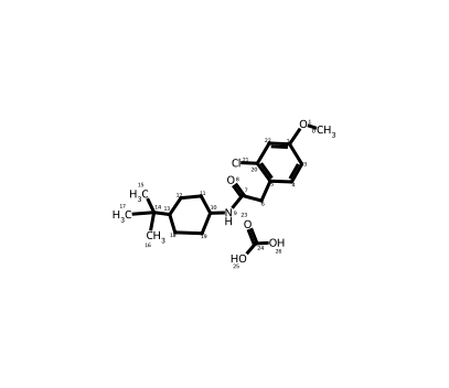 COc1ccc(CC(=O)NC2CCC(C(C)(C)C)CC2)c(Cl)c1.O=C(O)O